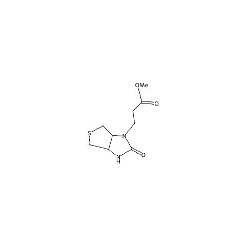 COC(=O)CCN1C(=O)NC2CSCC21